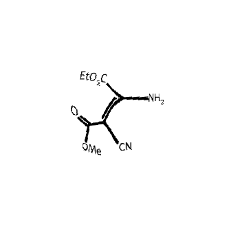 CCOC(=O)C(N)=C(C#N)C(=O)OC